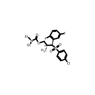 CCN(CC)C(=O)OC[C@@H](C)[C@@H](c1cc(F)ccc1F)S(=O)(=O)c1ccc(Cl)cc1